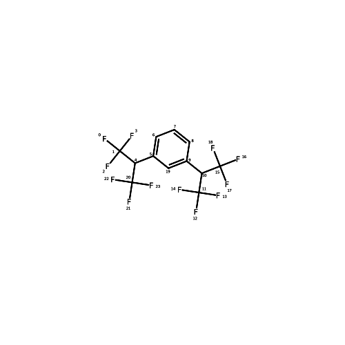 FC(F)(F)C(c1cccc(C(C(F)(F)F)C(F)(F)F)c1)C(F)(F)F